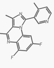 Cc1ccncc1-c1nc(C)c2c(C)nc3c(F)cc(F)cc3n12